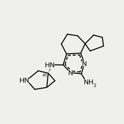 Nc1nc(N[C@@]23CNCC2C3)c2c(n1)C1(CCCC1)CCC2